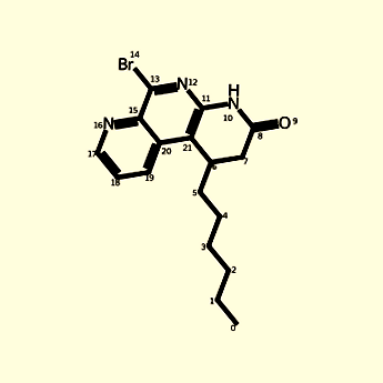 CCCCCCC1CC(=O)Nc2nc(Br)c3ncccc3c21